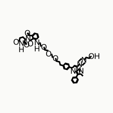 Cc1nn2c(N3CCN(CCO)CC3)cc(-c3ccc(CCCOCCOCCOCCNc4cccc5c4C(=O)N(C4CCC(=O)NC4=O)C5=O)cc3)nc2c1-c1ccccc1